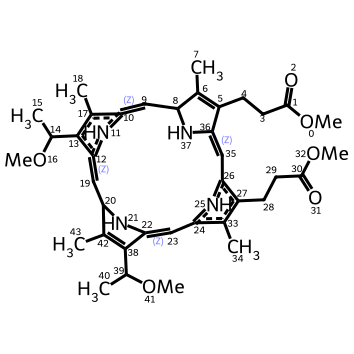 COC(=O)CCC1=C(C)C2/C=c3\[nH]/c(c(C(C)OC)c3C)=C\C3N/C(=C\c4[nH]c(c(CCC(=O)OC)c4C)/C=C/1N2)C(C(C)OC)=C3C